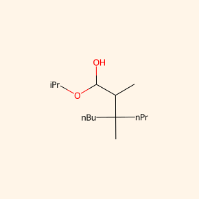 CCCCC(C)(CCC)C(C)C(O)OC(C)C